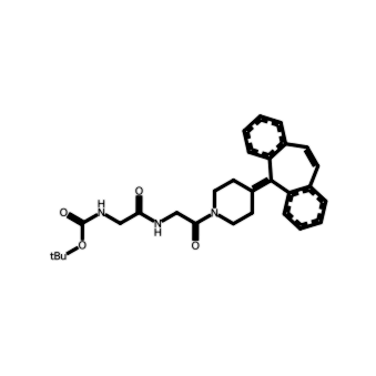 CC(C)(C)OC(=O)NCC(=O)NCC(=O)N1CCC(=C2c3ccccc3C=Cc3ccccc32)CC1